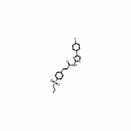 CCCS(=O)(=O)c1ccc(C=CC(=O)Nc2nc(-c3ccc(F)cc3)cs2)cc1